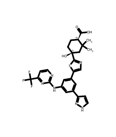 CC1(C)C[C@](O)(c2ncc(-c3cc(Nc4nccc(C(F)(F)F)n4)cc(-c4cc[nH]n4)c3)s2)CC[C@H]1C(=O)O